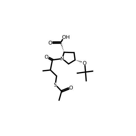 CC(=O)SCC(C)C(=O)N1C[C@@H](OC(C)(C)C)C[C@H]1C(=O)O